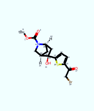 CC(C)(C)OC(=O)N1C[C@H]2C[C@@H]1C[C@]2(O)c1ccc(C(=O)CBr)s1